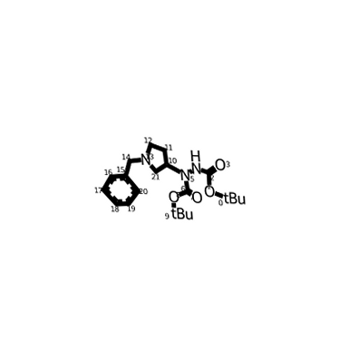 CC(C)(C)OC(=O)NN(C(=O)OC(C)(C)C)C1CCN(Cc2ccccc2)C1